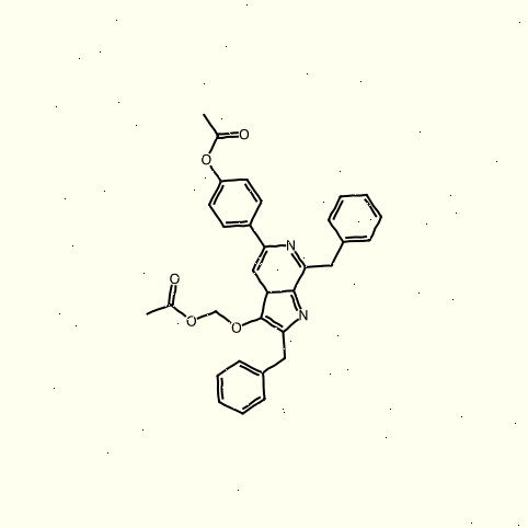 CC(=O)OCOC1=C(Cc2ccccc2)N=C2C(Cc3ccccc3)=NC(c3ccc(OC(C)=O)cc3)=CC21